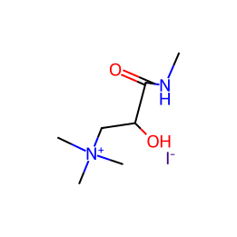 CNC(=O)C(O)C[N+](C)(C)C.[I-]